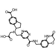 O=C(O)CN(Cc1cc(C(=O)NCc2ccc3c(c2)NC(=O)CO3)ncn1)C1CCc2cc(C(=O)O)ccc21